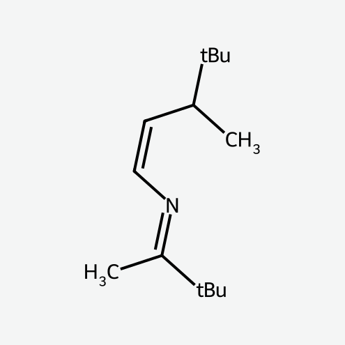 C/C(=N\C=C/C(C)C(C)(C)C)C(C)(C)C